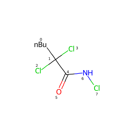 CCCCC(Cl)(Cl)C(=O)NCl